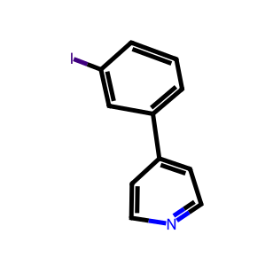 Ic1cccc(-c2ccncc2)c1